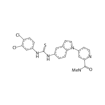 CNC(=O)c1cc(-n2ccc3cc(NC(=S)Nc4ccc(Cl)c(Cl)c4)ccc32)ccn1